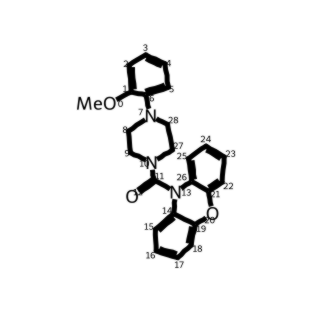 COc1ccccc1N1CCN(C(=O)N2c3ccccc3Oc3ccccc32)CC1